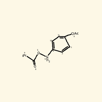 CC(=O)Oc1ccc([SiH2]OC(=O)C(C)C)cc1